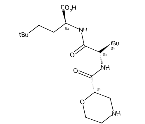 CC[C@H](C)[C@H](NC(=O)[C@@H]1CNCCO1)C(=O)N[C@@H](CCC(C)(C)C)C(=O)O